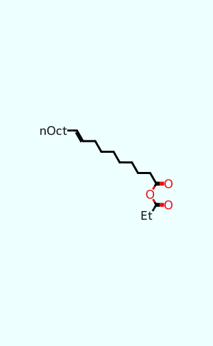 CCCCCCCCC=CCCCCCCCC(=O)OC(=O)CC